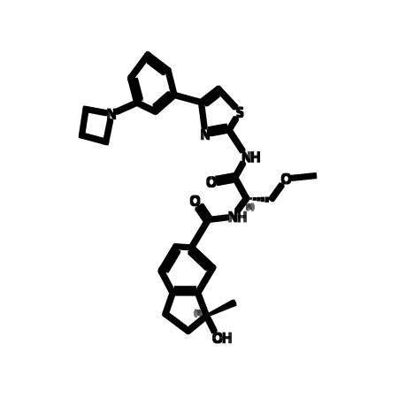 COC[C@H](NC(=O)c1ccc2c(c1)[C@](C)(O)CC2)C(=O)Nc1nc(-c2cccc(N3CCC3)c2)cs1